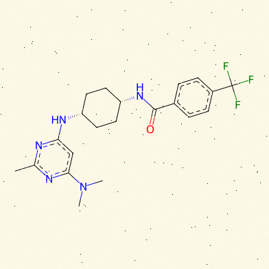 Cc1nc(N[C@H]2CC[C@@H](NC(=O)c3ccc(C(F)(F)F)cc3)CC2)cc(N(C)C)n1